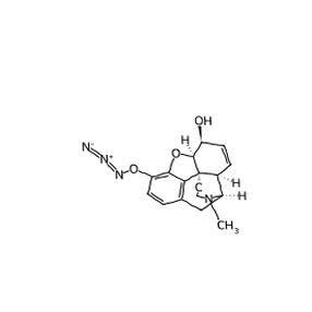 CN1CC[C@]23c4c5ccc(ON=[N+]=[N-])c4O[C@H]2[C@@H](O)C=C[C@H]3[C@H]1C5